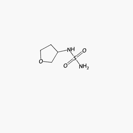 NS(=O)(=O)NC1CCOC1